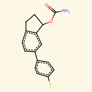 NC(=O)OC1CCc2ccc(-c3ccc(F)cc3)cc21